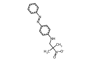 CC(C)(CNc1ccc(N=Nc2ccccc2)cc1)[N+](=O)[O-]